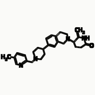 C=C1NC(=O)CCC1N1CCc2ccc(C3CCN(Cc4ccc(C)cn4)CC3)cc2C1